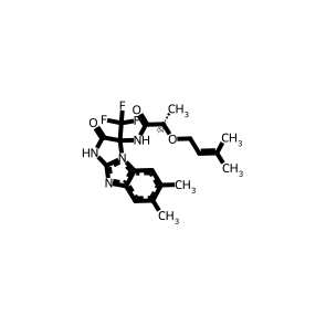 CC(C)=CCO[C@@H](C)C(=O)NC1(C(F)(F)F)C(=O)Nc2nc3cc(C)c(C)cc3n21